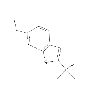 CCc1ccc2cc(C(C)(C)C)sc2c1